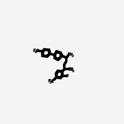 CC(CCC(C)c1ccc(C(F)(F)F)cc1F)c1ccc(-c2ccc(C(F)(F)F)cc2)cc1